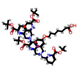 CC(C)(C)OC(=O)c1cccc(CN(Cc2cc(OCCCCCCC(=O)O)cc(CN(Cc3cccc(C(=O)OC(C)(C)C)n3)Cc3cccc(C(=O)OC(C)(C)C)n3)n2)Cc2cccc(C(=O)OC(C)(C)C)n2)n1